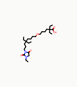 CCN1CC(=O)N(CCCC(CC)(CC)CCCCOCCCCC(CC)(CC)C(=O)O)C1=O